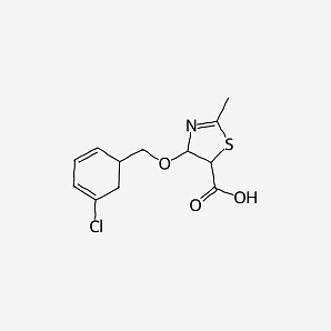 CC1=NC(OCC2C=CC=C(Cl)C2)C(C(=O)O)S1